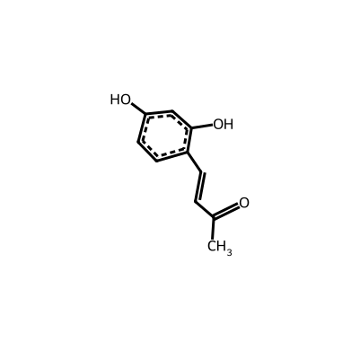 CC(=O)/C=C/c1ccc(O)cc1O